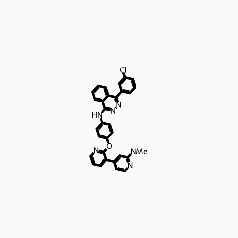 CNc1cc(-c2cccnc2Oc2ccc(Nc3nnc(-c4cccc(Cl)c4)c4ccccc34)cc2)ccn1